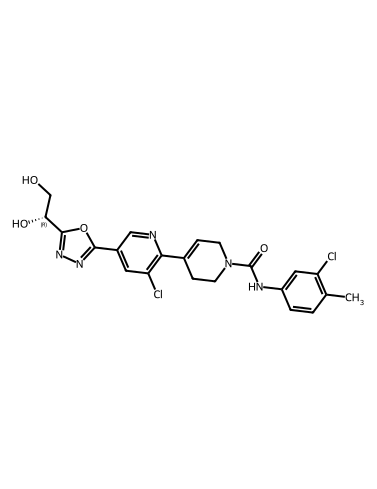 Cc1ccc(NC(=O)N2CC=C(c3ncc(-c4nnc([C@H](O)CO)o4)cc3Cl)CC2)cc1Cl